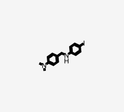 CN(C)c1ccc(CNc2ccc(I)cc2)cc1